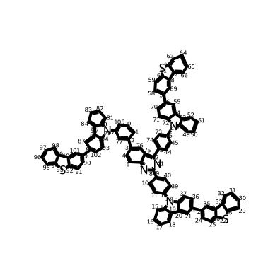 c1cc(-c2ccc3nc(-c4ccc(-n5c6ccccc6c6cc(-c7ccc8sc9ccccc9c8c7)ccc65)cc4)nc(-c4ccc(-n5c6ccccc6c6cc(-c7ccc8sc9ccccc9c8c7)ccc65)cc4)c3c2)cc(-n2c3ccccc3c3cc(-c4ccc5sc6ccccc6c5c4)ccc32)c1